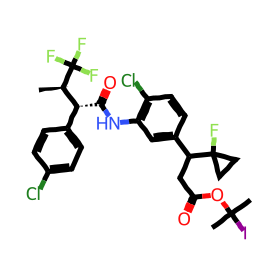 C[C@H]([C@H](C(=O)Nc1cc(C(CC(=O)OC(C)(C)I)C2(F)CC2)ccc1Cl)c1ccc(Cl)cc1)C(F)(F)F